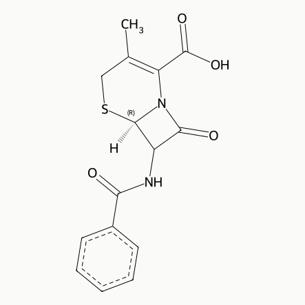 CC1=C(C(=O)O)N2C(=O)C(NC(=O)c3ccccc3)[C@H]2SC1